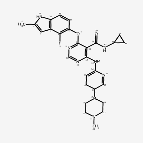 Cc1cc2c(F)c(Oc3ncnc(NC4=CCC(N5CCN(C)CC5)C=N4)c3C(=O)NC3CC3)ccc2[nH]1